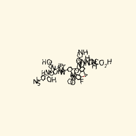 Cc1ncsc1-c1ccc([C@H](CO)NC(=O)[C@@H]2C[C@@H](O)CN2C(=O)[C@H](C(C)C)n2cc(-c3ccc(COc4c(-c5c(C)c(F)cc6c5cnn6C5CCCCO5)c(C5CC5)cc5c(N6C[C@@H]7C[C@H]6CN7C(=O)O)nc(OC6CCNCC6)nc45)cc3)nn2)cc1